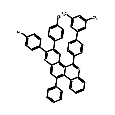 N#Cc1ccc(-c2nc3cc(-c4ccccc4)c4c5ccccc5nc(-c5ccc(-c6cc(C(F)(F)F)cc(C(F)(F)F)c6)cc5)c4c3nc2-c2ccc(C#N)cc2)cc1